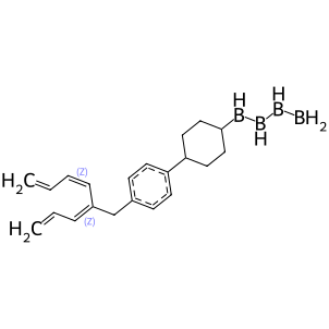 BBBBC1CCC(c2ccc(CC(/C=C\C=C)=C/C=C)cc2)CC1